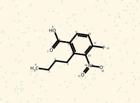 CCCCc1c(C(=O)O)ccc(F)c1[N+](=O)[O-]